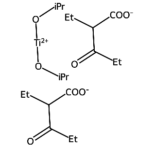 CC(C)[O][Ti+2][O]C(C)C.CCC(=O)C(CC)C(=O)[O-].CCC(=O)C(CC)C(=O)[O-]